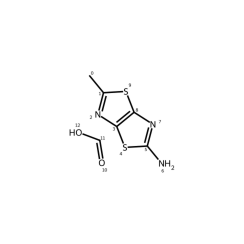 Cc1nc2sc(N)nc2s1.O=CO